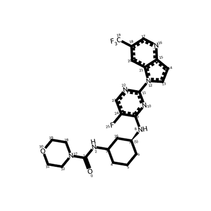 O=C(NC1CCC[C@H](Nc2nc(-n3ccc4ncc(C(F)(F)F)cc43)ncc2F)C1)N1CCOCC1